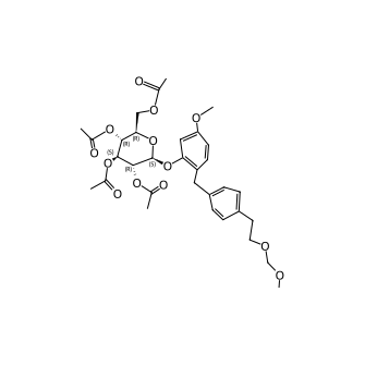 COCOCCc1ccc(Cc2ccc(OC)cc2O[C@@H]2O[C@H](COC(C)=O)[C@@H](OC(C)=O)[C@H](OC(C)=O)[C@H]2OC(C)=O)cc1